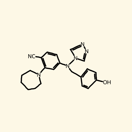 N#Cc1ccc(N(Cc2ccc(O)cc2)n2cnnc2)cc1N1CCCCCC1